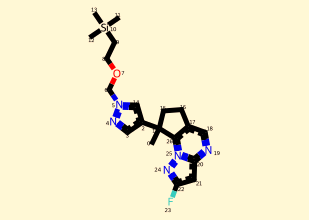 CC1(c2cnn(COCC[Si](C)(C)C)c2)CCc2cnc3cc(F)nn3c21